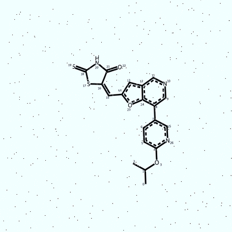 CC(C)Oc1ccc(-c2cncc3cc(/C=C4/SC(=S)NC4=O)oc23)cn1